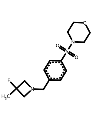 CC1(F)CN(Cc2ccc(S(=O)(=O)N3CCOCC3)cc2)C1